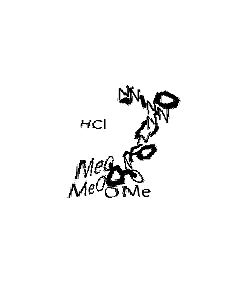 COc1cc(C(=O)N2CCC(CCN3CCCN(c4nc5ccccc5n4CCn4ccnc4)CC3)(c3ccccc3)C2)cc(OC)c1OC.Cl